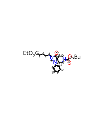 CCOC(=O)CCCCN1CN(c2ccccc2)C2(CCN(C(=O)OC(C)(C)C)CC2)C1=O